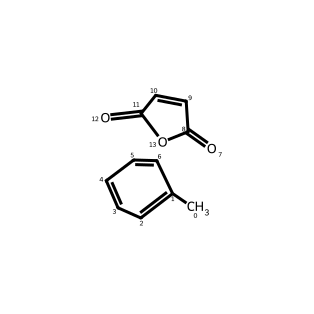 Cc1ccccc1.O=C1C=CC(=O)O1